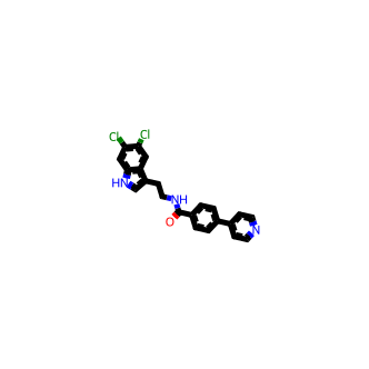 O=C(NCCc1c[nH]c2cc(Cl)c(Cl)cc12)c1ccc(-c2ccncc2)cc1